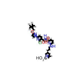 CC1(C)C[C@H](CCCNc2cccc(S(=O)(=O)NC(=O)c3ccc(-n4ccc(OCC5C(C)(C)C5(C)C)n4)nc3Cl)n2)CN1C(=O)O